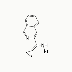 CCNC(=C1CC1)c1cc2ccccc2cn1